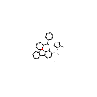 CC1=CC[C]([Zr+2](=[C](c2ccccc2)c2ccccc2)[c]2c(N(C)C)ccc3c2Cc2ccccc2-3)=C1.[Cl-].[Cl-]